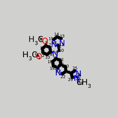 COc1cc(OC)cc(N(Cc2ncccn2)c2ccc3ncc(-c4cnn(C)c4)cc3c2)c1